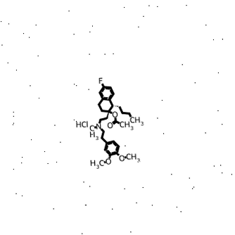 CCCC[C@H]1c2ccc(F)cc2CC[C@@]1(CCN(C)CCc1ccc(OC)c(OC)c1)OC(C)=O.Cl